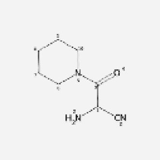 N#CC(N)C(=O)N1CCCCC1